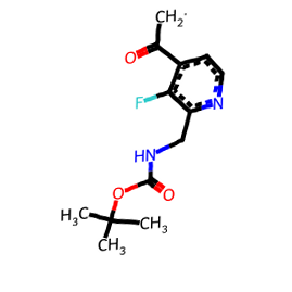 [CH2]C(=O)c1ccnc(CNC(=O)OC(C)(C)C)c1F